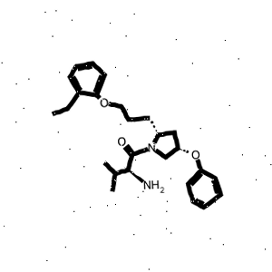 CCc1ccccc1OCCC[C@@H]1C[C@H](Oc2ccccc2)CN1C(=O)[C@@H](N)C(C)C